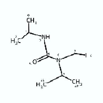 CC(C)NC(=O)N(CI)C(C)C